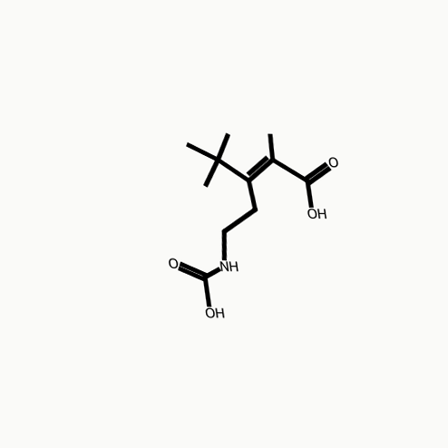 CC(C(=O)O)=C(CCNC(=O)O)C(C)(C)C